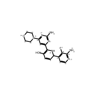 Nc1nc(C2=C(O)C=CC(c3ccnc(N)c3F)N2)cc(N2CCOCC2)n1